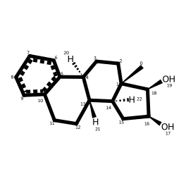 C[C@]12CC[C@@H]3c4ccccc4CC[C@H]3[C@@H]1C[C@H](O)[C@@H]2O